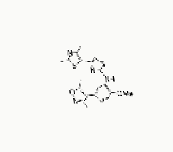 COc1ccc(-c2c(C)noc2C)cc1Nc1nc(-c2sc(C)nc2C)cs1